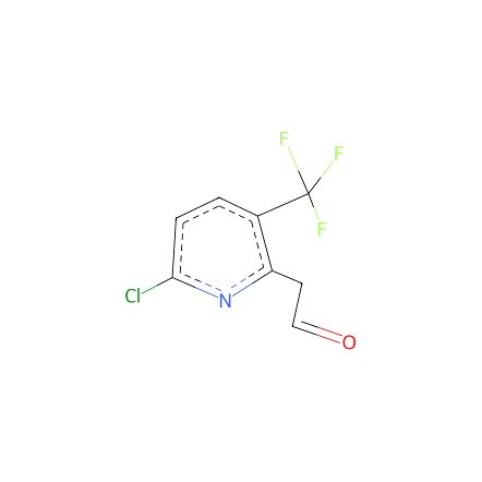 O=CCc1nc(Cl)ccc1C(F)(F)F